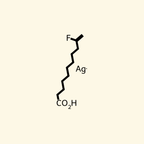 C=C(F)CCCCCCCCC(=O)O.[Ag]